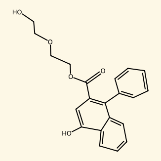 O=C(OCCOCCO)c1cc(O)c2ccccc2c1-c1ccccc1